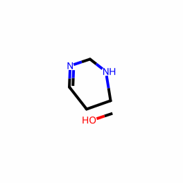 C1=NCNCC1.CO